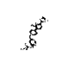 CCNC(=O)Nc1cc(CN2CCC(c3ccc(-c4ncc[nH]4)nc3F)CC2)ncn1